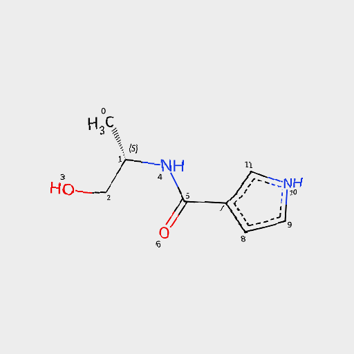 C[C@@H](CO)NC(=O)c1cc[nH]c1